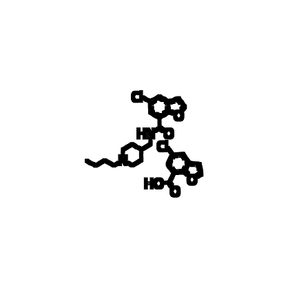 CCCCN1CCC(CNC(=O)c2cc(Cl)cc3ccoc23)CC1.O=C(O)c1cc(Cl)cc2ccoc12